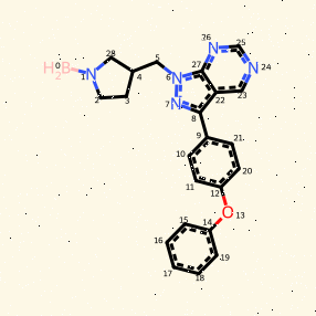 BN1CCC(Cn2nc(-c3ccc(Oc4ccccc4)cc3)c3cncnc32)C1